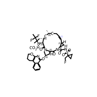 C[C@@H]1CC/C=C\[C@@H]2C[C@@]2(C(=O)NS(=O)(=O)C2(CF)CC2)NC(=O)[C@@H]2C[C@@H](Oc3nc4c(c5ccccc35)CCCO4)CN2C(=O)[C@@H](N(C(=O)O)C(C)(C)C(C)(F)F)[C@H](C)C1